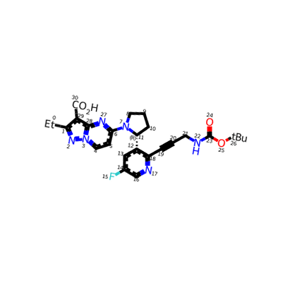 CCc1nn2ccc(N3CCC[C@@H]3c3cc(F)cnc3C#CCNC(=O)OC(C)(C)C)nc2c1C(=O)O